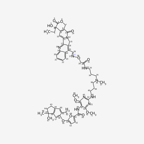 CC[C@@]1(O)C(=O)OCc2c1cc1n(c2=O)Cc2c-1nc1ccccc1c2/C=N/OCC(=O)NCCCN(C)CCCNc1nc(OC)c(NC(=O)c2ccc(Oc3cc4c(cc3C)CCC4(C)C)o2)c(OC)n1